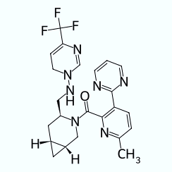 Cc1ccc(-c2ncccn2)c(C(=O)N2C[C@@H]3C[C@@H]3C[C@H]2CNN2C=NC(C(F)(F)F)=CC2)n1